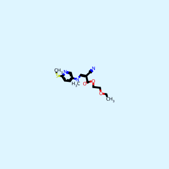 CCOCCOC(=O)/C(C#N)=C\N(C)c1ccc(SC)nc1